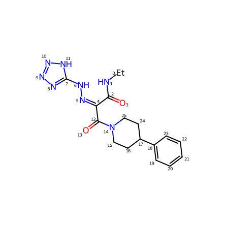 CCNC(=O)/C(=N\Nc1nnn[nH]1)C(=O)N1CCC(c2ccccc2)CC1